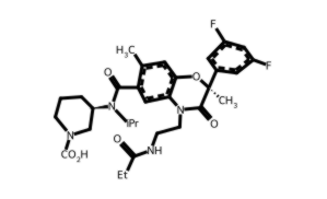 CCC(=O)NCCN1C(=O)[C@](C)(c2cc(F)cc(F)c2)Oc2cc(C)c(C(=O)N(C(C)C)[C@@H]3CCCN(C(=O)O)C3)cc21